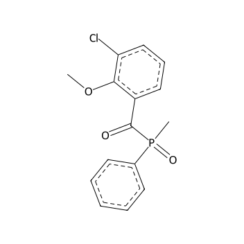 COc1c(Cl)cccc1C(=O)P(C)(=O)c1ccccc1